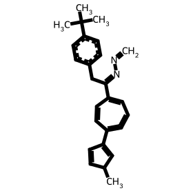 C=N/N=C(\Cc1ccc(C(C)(C)C)cc1)C1=CC=C=C(C2=CC(C)C=C2)C=C1